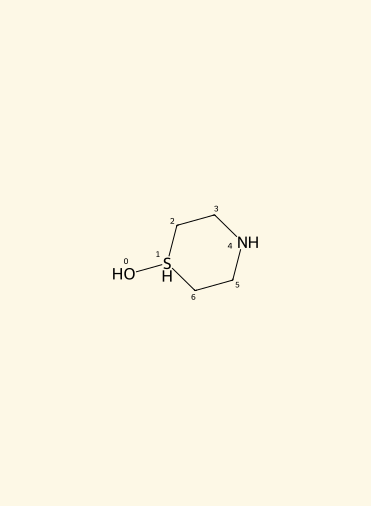 O[SH]1CCNCC1